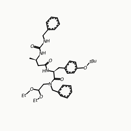 CCOC(CN(Cc1ccccc1)C(=O)[C@H](Cc1ccc(OC(C)(C)C)cc1)NC(=O)C[C@@H](C)NC(=O)NCc1ccccc1)OCC